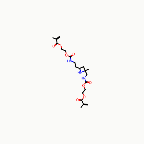 C=C(C)C(=O)OCCOC(=O)NCCC1CC(C)(CNC(=O)OCCOC(=O)C(=C)C)N1